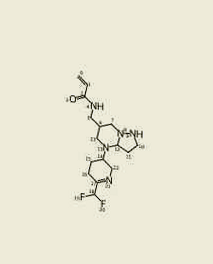 C=CC(=O)NCC1CN2NCCC2N(C2CCC(C(F)F)=NC2)C1